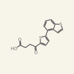 O=C(O)CCC(=O)c1ccc(-c2cccc3sccc23)s1